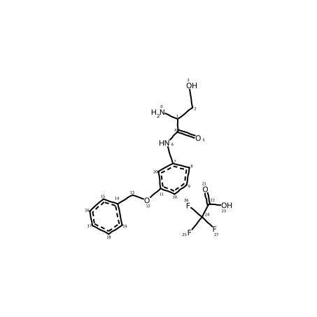 NC(CO)C(=O)Nc1cccc(OCc2ccccc2)c1.O=C(O)C(F)(F)F